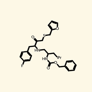 CC(C)CC(CNC(Cc1ccc(F)cc1)C(=O)CSCc1ccco1)NC(=O)OCc1ccccc1